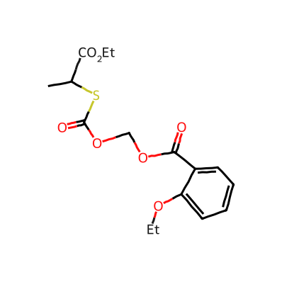 CCOC(=O)C(C)SC(=O)OCOC(=O)c1ccccc1OCC